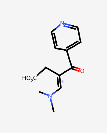 CN(C)/C=C(\CC(=O)O)C(=O)c1ccncc1